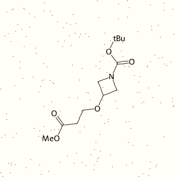 COC(=O)CCOC1CN(C(=O)OC(C)(C)C)C1